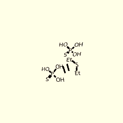 CC.CC.CCSCC.OP(O)(O)=S.OP(O)(O)=S